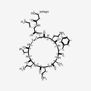 CCCCCCC[C@@H](O)CC(=O)N[C@@H](CCN)C(=O)N[C@H]1CCNC(=O)[C@H](CC(C)C)NC(=O)[C@H](CCN)NC(=O)[C@H](CCN)NC(=O)[C@H](C)NC(=O)[C@@H](Cc2ccccc2)NC(=O)[C@H](CCN)NC1=O